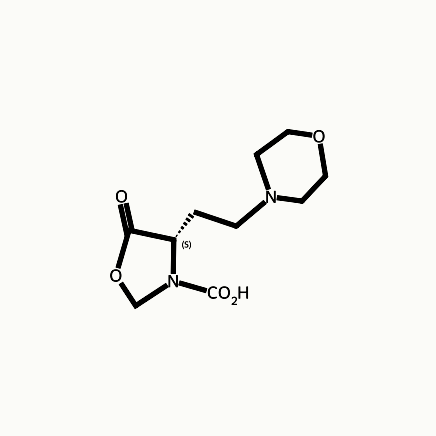 O=C1OCN(C(=O)O)[C@H]1CCN1CCOCC1